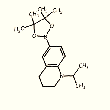 CC(C)N1CCCc2cc(B3OC(C)(C)C(C)(C)O3)ccc21